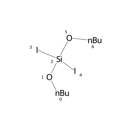 CCCCO[Si](I)(I)OCCCC